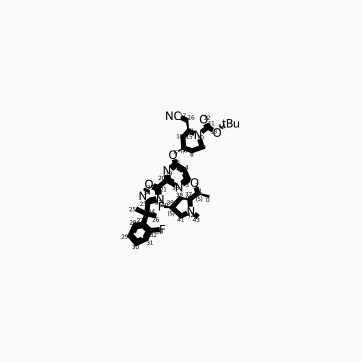 C[C@H](Oc1cc(O[C@H]2CCN(C(=O)OC(C)(C)C)[C@H](CC#N)C2)nc(-c2nc(C(C)(C)c3ccccc3F)no2)n1)[C@@H]1C[C@H](F)CN1C